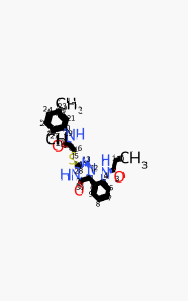 CCC(=O)Nc1ccccc1-c1nnc(SCC(=O)Nc2cc(C)ccc2C)[nH]c1=O